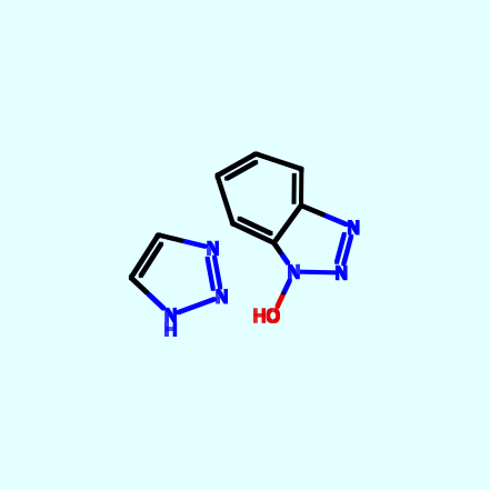 On1nnc2ccccc21.c1c[nH]nn1